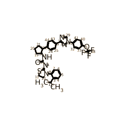 CC(C)c1ccccc1N1CCS/C1=N\C(=O)NC1CCCC1c1ccc(-c2ncn(-c3ccc(OC(F)(F)F)cc3)n2)cc1